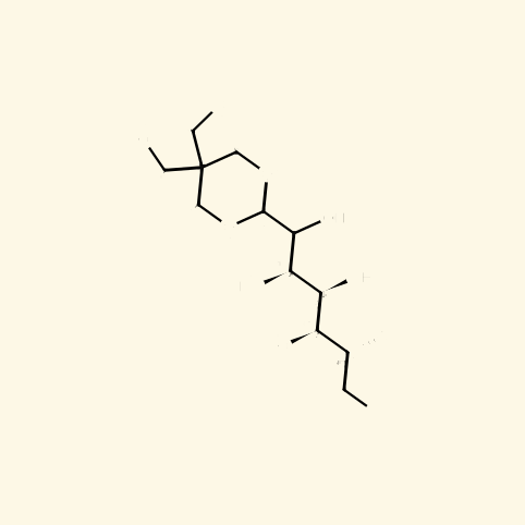 OC[C@@H](O)[C@@H](O)[C@H](O)[C@@H](O)C(O)C1OCC(CO)(CO)CO1